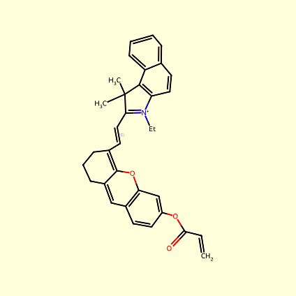 C=CC(=O)Oc1ccc2c(c1)OC1=C(/C=C/C3=[N+](CC)c4ccc5ccccc5c4C3(C)C)CCCC1=C2